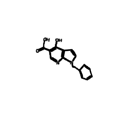 O=C(O)c1cnc2c(ccn2Cc2ccccc2)c1O